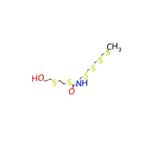 CSCSCSCSCNC(=O)SCCSCCO